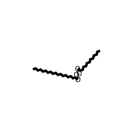 CCCCCCCCCCCCCCCCCC(=O)OOC(=O)CCCCCCCCCCC